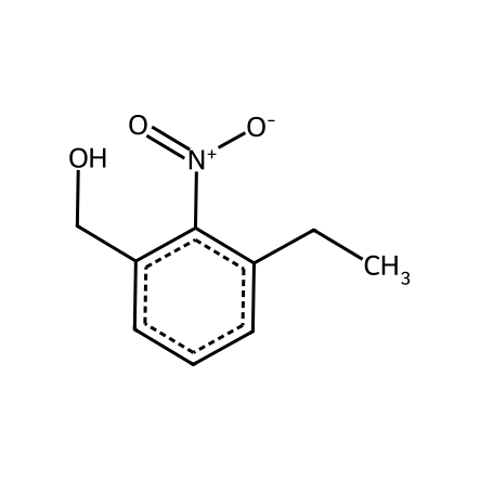 CCc1cccc(CO)c1[N+](=O)[O-]